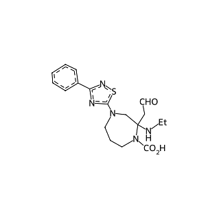 CCNC1(CC=O)CN(c2nc(-c3ccccc3)ns2)CCCN1C(=O)O